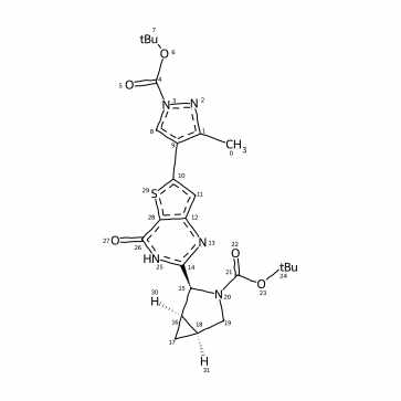 Cc1nn(C(=O)OC(C)(C)C)cc1-c1cc2nc([C@@H]3[C@@H]4C[C@@H]4CN3C(=O)OC(C)(C)C)[nH]c(=O)c2s1